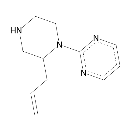 C=CCC1CNCCN1c1ncccn1